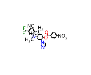 CN(c1ccc(C#N)c(C(F)F)c1)C1C=C(n2ccnc2)C(OC(=O)c2ccc([N+](=O)[O-])cc2)CC1(C)C